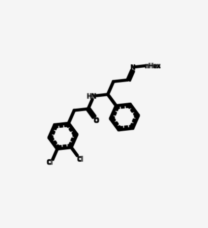 CCCCCCN=CCC(NC(=O)Cc1ccc(Cl)c(Cl)c1)c1ccccc1